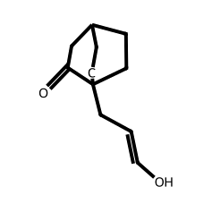 O=C1CC2CCC1(CC=CO)CC2